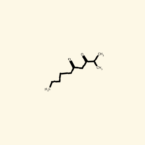 CCCCCC(=O)CC(=O)C(C)C